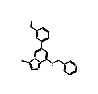 FCc1cccc(-c2cc(NCc3cccnc3)c3ncc(Br)n3c2)c1